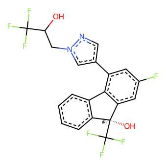 OC(Cn1cc(-c2cc(F)cc3c2-c2ccccc2[C@]3(O)C(F)(F)F)cn1)C(F)(F)F